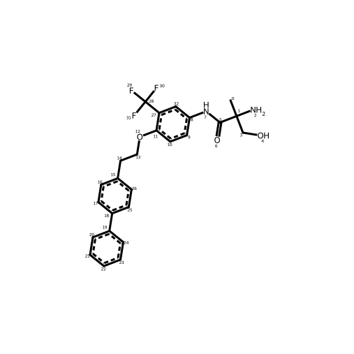 CC(N)(CO)C(=O)Nc1ccc(OCCc2ccc(-c3ccccc3)cc2)c(C(F)(F)F)c1